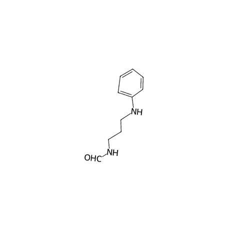 O=CNCCCNc1ccccc1